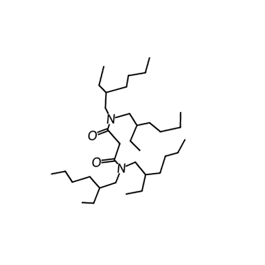 CCCCC(CC)CN(CC(CC)CCCC)C(=O)CC(=O)N(CC(CC)CCCC)CC(CC)CCCC